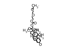 [CH2]COCCOCCOC(=O)OCC(=O)[C@@]1(O)[C@H](C)C[C@H]2[C@@H]3CCC4=CC(=O)C=C[C@]4(C)[C@@]3(F)[C@@H](O)C[C@@]21C